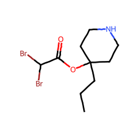 CCCC1(OC(=O)C(Br)Br)CCNCC1